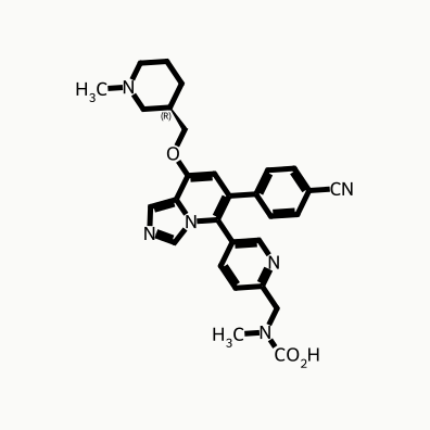 CN1CCC[C@@H](COc2cc(-c3ccc(C#N)cc3)c(-c3ccc(CN(C)C(=O)O)nc3)n3cncc23)C1